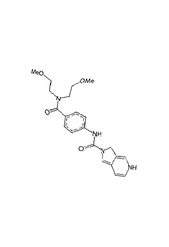 COCCN(CCOC)C(=O)c1ccc(NC(=O)N2C=C3C=CNC=C3C2)cc1